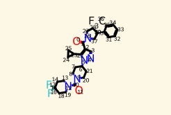 O=C(c1cnn(C2CCN(C(=O)N3CCC(F)(F)CC3)CC2)c1C1CC1)N1CC[C@@H](c2ccccc2C(F)(F)F)C1